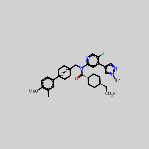 COc1ccc(C23CCC(CN(c4cc(-c5cnn(C(C)C)c5)c(F)cn4)C(=O)[C@H]4CC[C@H](CC(=O)O)CC4)(CC2)CC3)cc1C